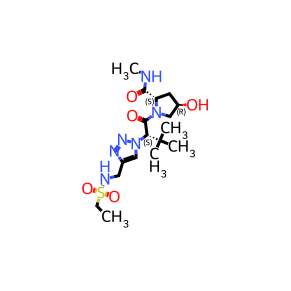 CCS(=O)(=O)NCc1cn([C@H](C(=O)N2C[C@H](O)C[C@H]2C(=O)NC)C(C)(C)C)nn1